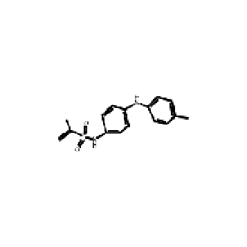 C=C(C)S(=O)(=O)Nc1ccc(Nc2ccc(C)cc2)cc1